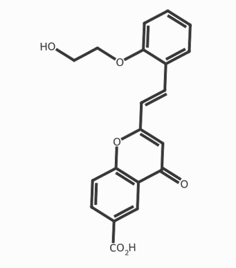 O=C(O)c1ccc2oc(C=Cc3ccccc3OCCO)cc(=O)c2c1